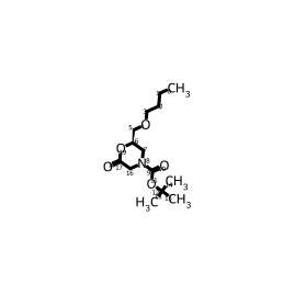 CCCCOC[C@H]1CN(C(=O)OC(C)(C)C)CC(=O)O1